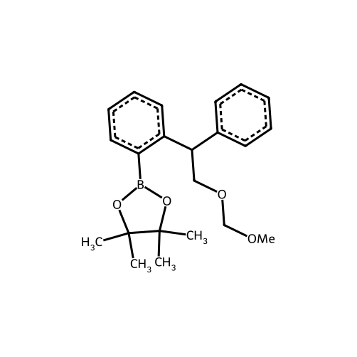 COCOCC(c1ccccc1)c1ccccc1B1OC(C)(C)C(C)(C)O1